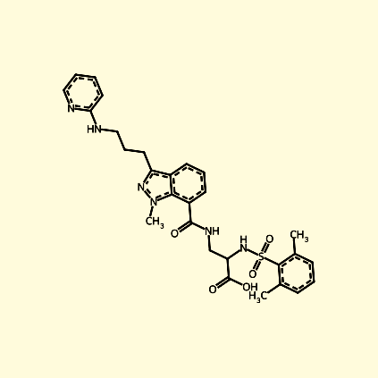 Cc1cccc(C)c1S(=O)(=O)NC(CNC(=O)c1cccc2c(CCCNc3ccccn3)nn(C)c12)C(=O)O